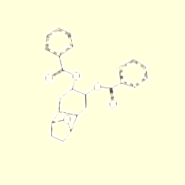 O=C(OC1CC2C3CCC(O3)C2CC1OC(=O)c1ccccc1)c1ccccc1